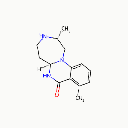 Cc1cccc2c1C(=O)N[C@H]1CCN[C@H](C)CN21